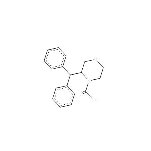 NC(=O)N1CCNCC1C(c1ccccc1)c1ccccc1